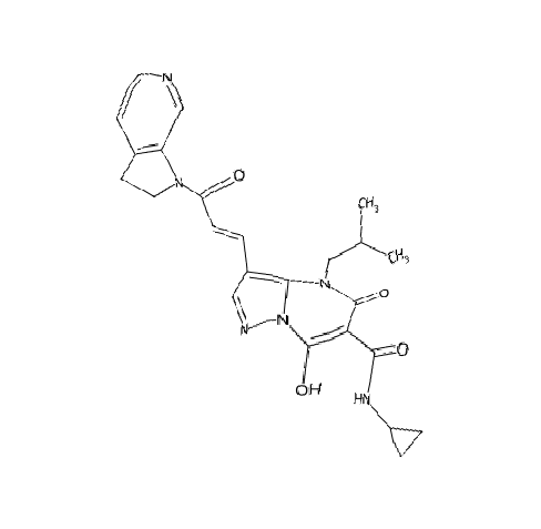 CC(C)Cn1c(=O)c(C(=O)NC2CC2)c(O)n2ncc(/C=C/C(=O)N3CCc4ccncc43)c12